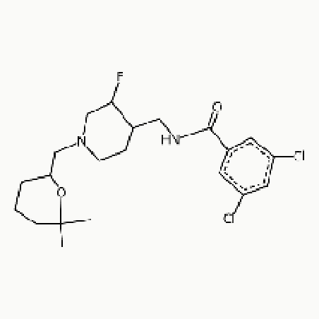 CC1(C)CCCC(CN2CCC(CNC(=O)c3cc(Cl)cc(Cl)c3)C(F)C2)O1